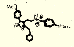 CCCCCc1ccc(S(=O)(=O)NCCc2c(Cc3ccccc3)n[nH]c2-c2ccc(OC)cc2)cc1